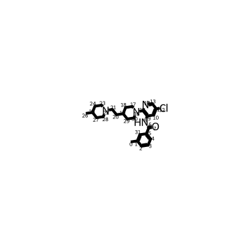 Cc1cccc(C(=O)Nc2cc(Cl)cnc2N2CCC(CCN3CCC(C)CC3)CC2)c1